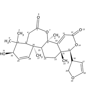 CC1(C)C2CC(=O)O[C@@]3(C)C4=CC(=O)O[C@@H](C5C=COC5)[C@]4(C)CCC3[C@@]2(C)C=C[C@H]1O